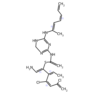 C=C/C=C\C=C(/C)NC1=NC(NC(=C)SC(=C\N)/C(=C/C)C(/Cl)=C\C(=C)Cl)=NCN1